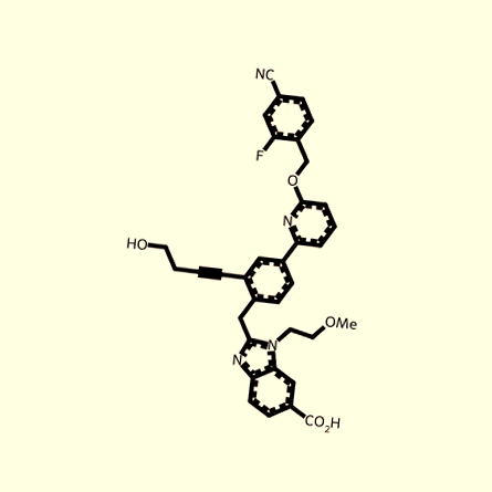 COCCn1c(Cc2ccc(-c3cccc(OCc4ccc(C#N)cc4F)n3)cc2C#CCCO)nc2ccc(C(=O)O)cc21